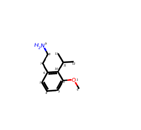 COc1cccc(CCN)c1C(C)C